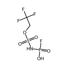 O=P(O)(F)NS(=O)(=O)OCC(F)(F)F